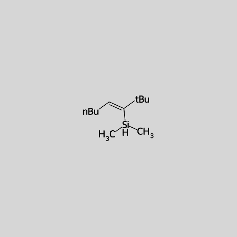 CCCC/C=C(\[SiH](C)C)C(C)(C)C